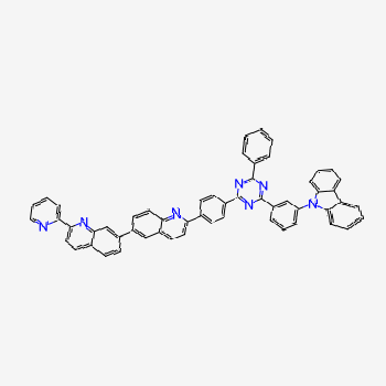 c1ccc(-c2nc(-c3ccc(-c4ccc5cc(-c6ccc7ccc(-c8ccccn8)nc7c6)ccc5n4)cc3)nc(-c3cccc(-n4c5ccccc5c5ccccc54)c3)n2)cc1